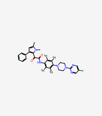 [2H]c1c([2H])c(N2CCN(c3ncc(F)cn3)CC2)c([2H])c([2H])c1NC(=O)C(=O)c1c(-c2ccccc2)cc(C)n1C